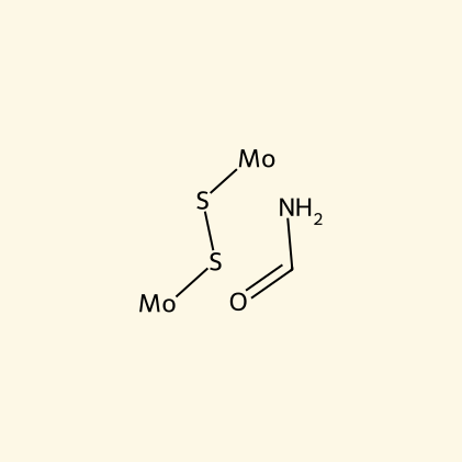 NC=O.[Mo][S][S][Mo]